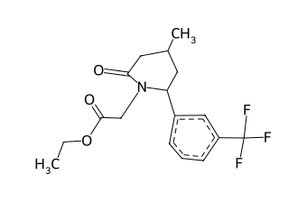 CCOC(=O)CN1C(=O)CC(C)CC1c1cccc(C(F)(F)F)c1